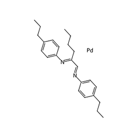 CCCCC(C=Nc1ccc(CCC)cc1)=Nc1ccc(CCC)cc1.[Pd]